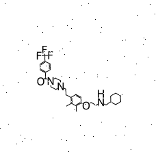 Cc1c(CCN2CCN(C(=O)c3ccc(C(F)(F)F)cc3)CC2)ccc(OCCNCC2CCCCC2)c1C